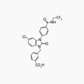 O=C(O)c1cccc(Cn2c(=O)n(-c3ccc(C(=O)NCC(F)(F)F)cc3)c3cc(Cl)ccc32)c1